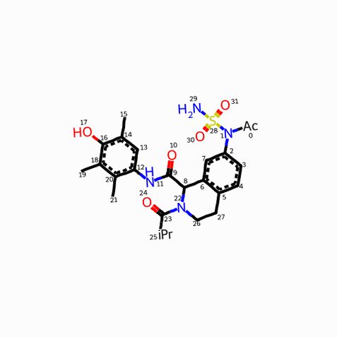 CC(=O)N(c1ccc2c(c1)C(C(=O)Nc1cc(C)c(O)c(C)c1C)N(C(=O)C(C)C)CC2)S(N)(=O)=O